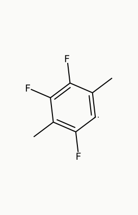 Cc1[c]c(F)c(C)c(F)c1F